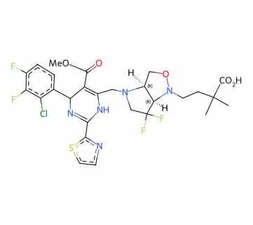 COC(=O)C1=C(CN2CC(F)(F)[C@H]3[C@@H]2CON3CCC(C)(C)C(=O)O)NC(c2nccs2)=NC1c1ccc(F)c(F)c1Cl